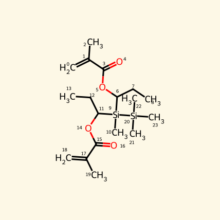 C=C(C)C(=O)OC(CC)[Si](C)(C(CC)OC(=O)C(=C)C)[Si](C)(C)C